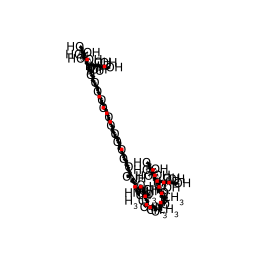 CNC(CCCNC(=O)CCOCCOCCOCCOCCOCCOCCOCCOCCOCCOCCOCCOCCN(C[C@H](O)[C@@H](O)[C@H](O)[C@H](O)CO)C[C@H](O)[C@@H](O)[C@H](O)[C@H](O)CO)C(=O)N(C)CC(=O)N(C)CC(=O)N(C)CC(=O)N(C)CC(=O)N(C)CC(=O)NCCN(C[C@H](O)[C@@H](O)[C@H](O)[C@H](O)CO)C[C@H](O)[C@@H](O)[C@H](O)[C@H](O)CO